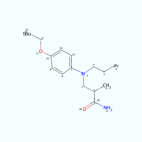 C[C](CN(CCC(C)C)c1ccc(OCC(C)(C)C)cc1)C(N)=O